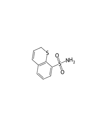 NS(=O)(=O)c1cccc2c1SCC=C2